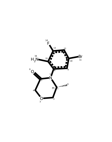 C[C@@H]1COCC(=O)N1c1cc(Br)cc(F)c1N